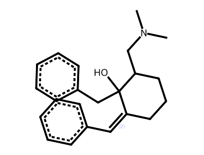 CN(C)CC1CCC/C(=C/c2ccccc2)C1(O)Cc1ccccc1